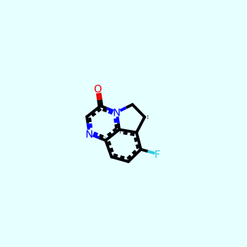 O=c1cnc2ccc(F)c3c2n1C[C]3